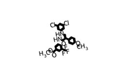 COC(=O)c1ccc(OC(=N)/C(=C\Nc2cc(Cl)cc(Cl)c2)c2ccc(OC)cc2)c(C(F)(F)F)c1